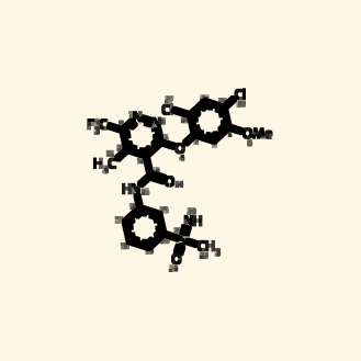 COc1cc(Oc2nnc(C(F)(F)F)c(C)c2C(=O)Nc2cccc(S(C)(=N)=O)c2)c(Cl)cc1Cl